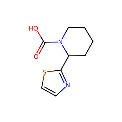 O=C(O)N1CCCCC1c1nccs1